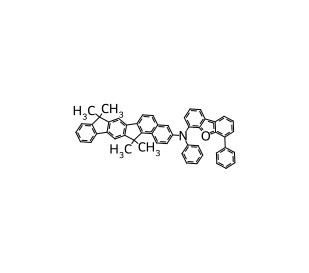 CC1(C)c2ccccc2-c2cc3c(cc21)-c1ccc2cc(N(c4ccccc4)c4cccc5c4oc4c(-c6ccccc6)cccc45)ccc2c1C3(C)C